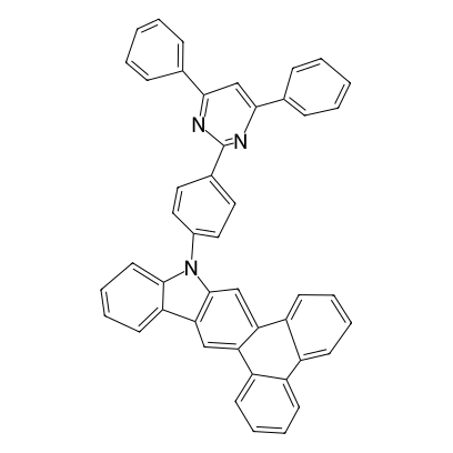 c1ccc(-c2cc(-c3ccccc3)nc(-c3ccc(-n4c5ccccc5c5cc6c7ccccc7c7ccccc7c6cc54)cc3)n2)cc1